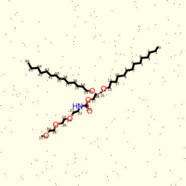 CCCCCCCCCCCCCCOC[C@H](COC(=O)NCCOCCOCCOC)OCCCCCCCCCCCCCC